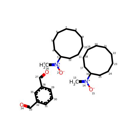 C=[N+]([O-])C1CCCCCCCCC1.C=[N+]([O-])C1CCCCCCCCC1.O=Cc1cccc(C=O)c1